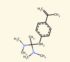 C=C(C)c1ccc([SiH2]C(C)(N(C)C)N(C)C)cc1